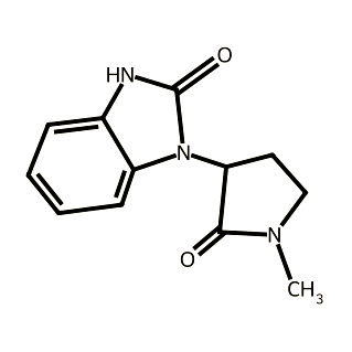 CN1CCC(n2c(=O)[nH]c3ccccc32)C1=O